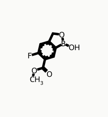 COC(=O)c1cc2c(cc1F)COB2O